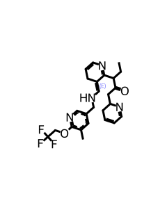 CCC(C(=O)CC1CC=CC=N1)C1=NC=CC/C1=C\NCc1cnc(OCC(F)(F)F)c(C)c1